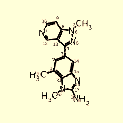 Cc1cc(-c2nn(C)c3ccncc23)cc2nc(N)n(C)c12